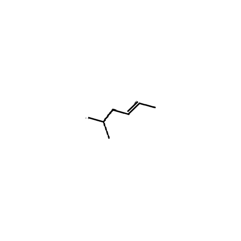 [CH2]C(C)CC=CC